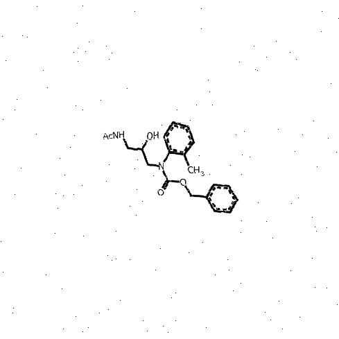 CC(=O)NCC(O)CN(C(=O)OCc1ccccc1)c1ccccc1C